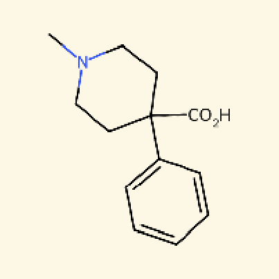 CN1CCC(C(=O)O)(c2ccccc2)CC1